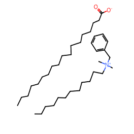 CCCCCCCCCCCCCCCCCC(=O)[O-].CCCCCCCCCCCC[N+](C)(C)Cc1ccccc1